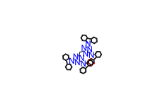 c1ccc2c(c1)c1ccccc1n2-c1nc(Cc2nc(-n3c4ccccc4c4ccccc43)nc(-n3c4ccccc4c4ccccc43)n2)nc(-n2c3ccccc3c3ccccc32)n1